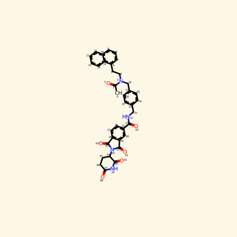 CC(=O)N(CCc1cccc2ccccc12)Cc1ccc(CNC(=O)c2ccc3c(c2)C(=O)N(C2CCC(=O)NC2=O)C3=O)cc1